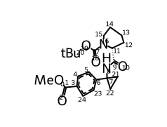 COC(=O)c1ccc(C2(NC(=O)[C@H]3CCCCN3C(=O)OC(C)(C)C)CC2)cc1